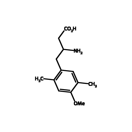 COc1cc(C)c(CC(N)CC(=O)O)cc1C